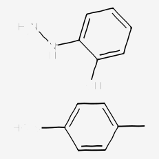 Cc1ccc(S(=O)(=O)O)cc1.NNc1ccccc1O